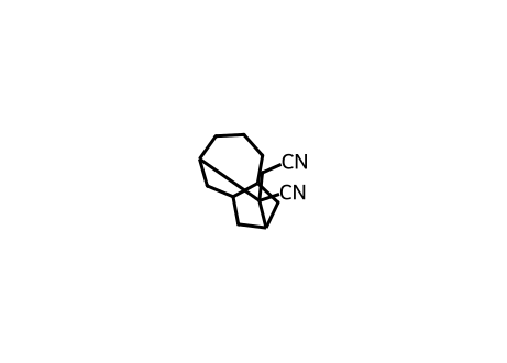 N#CCC1(C#N)C2CCCC3CC1CC3C2